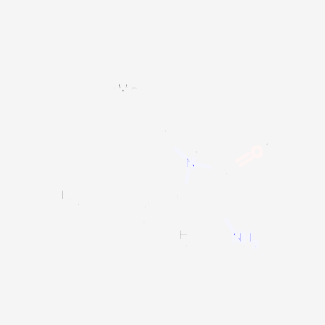 COCC1=CN2C(=O)C(N)[C@H]2SC1C(=O)O